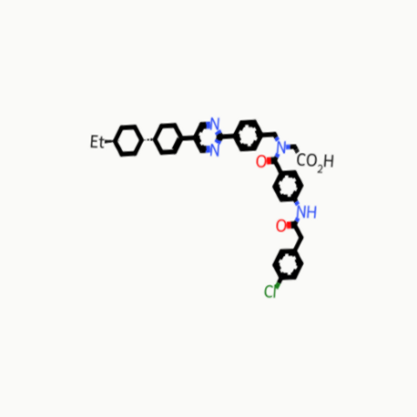 CC[C@H]1CC[C@H](C2CC=C(c3cnc(-c4ccc(CN(CC(=O)O)C(=O)c5ccc(NC(=O)Cc6ccc(Cl)cc6)cc5)cc4)nc3)CC2)CC1